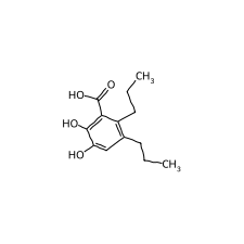 CCCc1cc(O)c(O)c(C(=O)O)c1CCC